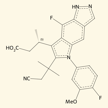 COc1cc(-n2c(C(C)(C)CC#N)c([C@@H](C)CC(=O)O)c3c(F)c4[nH]ncc4cc32)ccc1F